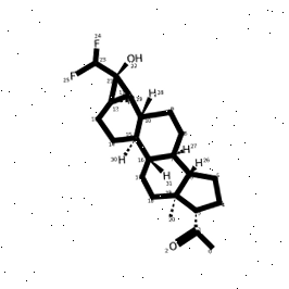 CC(=O)[C@H]1CC[C@H]2[C@@H]3CC[C@H]4C5[C@@H](CC[C@@H]4[C@H]3CC[C@]12C)[C@]5(O)C(F)F